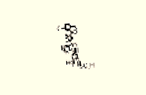 Cc1oc(C(=O)c2cncnc2N[C@@H]2C[C@H](CNS(=O)(=O)O)[C@@H](O)C2)cc1[C@H]1OCCc2ccc(Cl)cc21